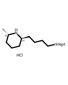 CCCCCCCCCCC[C@H]1CCC[C@H](C)N1.Cl